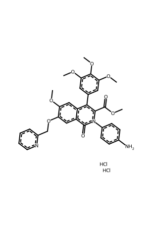 COC(=O)c1c(-c2cc(OC)c(OC)c(OC)c2)c2cc(OC)c(OCc3ccccn3)cc2c(=O)n1-c1ccc(N)cc1.Cl.Cl